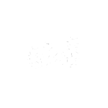 CC1(C)c2cc(-c3c4ccccc4c(-c4cccc5oc6ccccc6c45)c4ccccc34)ccc2-c2c1ccc1ccc3c4ccccc4oc3c21